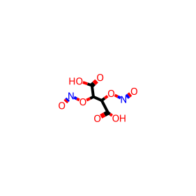 O=NOC(C(=O)O)C(ON=O)C(=O)O